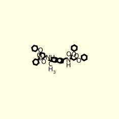 CC1(CNC(CC(=O)OC2CCCCC2)C(=O)OC2CCCCC2)CC2CC1C1C3CC(CNC(CC(=O)OC4CCCCC4)C(=O)OC4CCCCC4)C(C3)C21